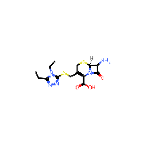 CCc1nnc(SCC2=C(C(=O)O)N3C(=O)C(N)[C@@H]3SC2)n1CC